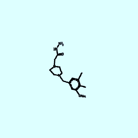 COc1cc(CN2CCN(CC(=O)NN)CC2)cc(C)c1C